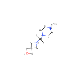 CC(C)(C)N1CCN(C(C)(C)N2CC3(COC3)C2)CC1